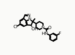 CC1(C2CCN(C(=O)Nc3cccc(F)c3)CC2)[C@@H](O)c2cc(Cl)cc3cnn1c23